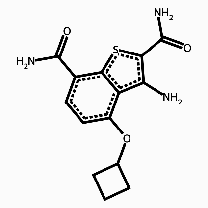 NC(=O)c1sc2c(C(N)=O)ccc(OC3CCC3)c2c1N